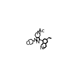 C=Cc1cc(-c2nn(C3CCOCC3)c3c2CN(C(C)=O)CC3)c2cnccc2c1